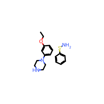 CCOc1cccc(N2CCNCC2)c1.NSc1ccccc1